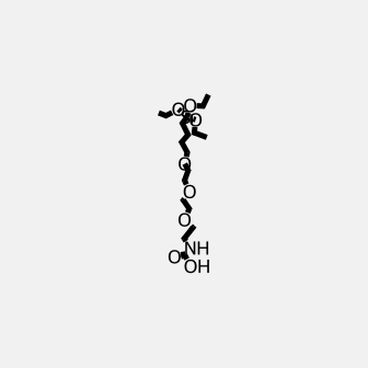 CCO[Si](CCCCOCCOCCOCCNC(=O)O)(OCC)OCC